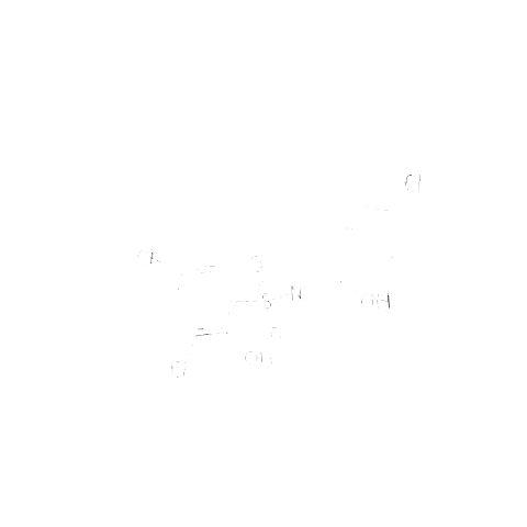 O=S(=O)(c1cc(Cl)cc(Cl)c1O)N1CC(O)(c2ccc(Cl)cc2)C1